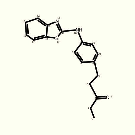 CCC(=O)CCc1ccc(Nc2nc3ccccc3s2)cc1